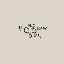 CC(=O)Nc1cc(C)c(C(=O)c2ccc(C)cc2)cc1C